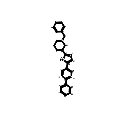 c1ccc(CN2CCCC(c3ncc(-c4cnc(-c5ccccc5)nc4)[nH]3)C2)cc1